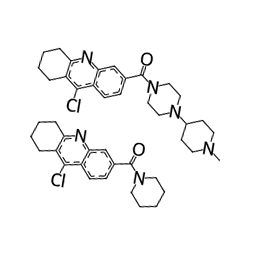 CN1CCC(N2CCN(C(=O)c3ccc4c(Cl)c5c(nc4c3)CCCC5)CC2)CC1.O=C(c1ccc2c(Cl)c3c(nc2c1)CCCC3)N1CCCCC1